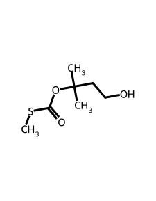 CSC(=O)OC(C)(C)CCO